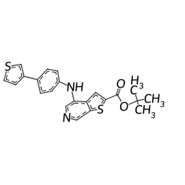 CC(C)(C)OC(=O)c1cc2c(Nc3ccc(-c4ccsc4)cc3)cncc2s1